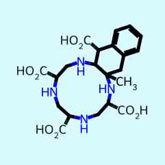 CC12Cc3ccccc3C(C(=O)O)C1NCC(C(=O)O)NCC(C(=O)O)NCC(C(=O)O)N2